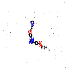 CCOC(=O)c1ccc(-c2cnc3sc(-c4ccc(OCCCCCN5CCCCC5)cc4)nn23)cc1